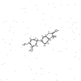 O=C1Cc2cc(-c3ccc(F)c(Cl)c3)ccc2N1